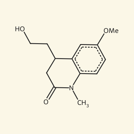 COc1ccc2c(c1)C(CCO)CC(=O)N2C